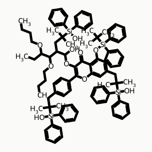 CCCCOC(CC)C(OCCCC)C(CC(C)(C)[Si](O)(c1ccccc1)c1ccccc1)C(O)Oc1c(-c2ccc(CC(C)(C)[Si](O)(c3ccccc3)c3ccccc3)cc2)oc2cc(CC(C)(C)[Si](O)(c3ccccc3)c3ccccc3)cc(O[Si](c3ccccc3)(c3ccccc3)C(C)(C)C)c2c1=O